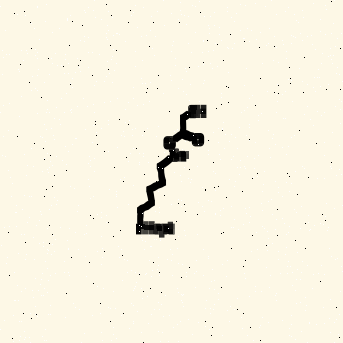 CCCCCCCCCCC[CH2][Sn][O]C(=O)CS